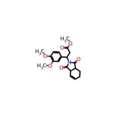 COC(=O)CC(c1ccc(OC)c(OC)c1)N1C(=O)C2C=CCCC2C1=O